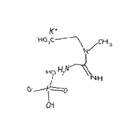 CN(CC(=O)O)C(=N)N.O=P([O-])(O)O.[K+]